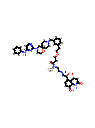 CN(CCNC[C@H](O)c1ccc(O)c2[nH]c(=O)ccc12)C(=O)CCOCCc1cccc(CN2CCC3(CC2)CN(c2nccc(Nc4ccccc4)n2)CCO3)c1